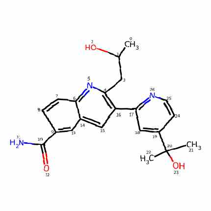 CC(O)Cc1nc2ccc(C(N)=O)cc2cc1-c1cc(C(C)(C)O)ccn1